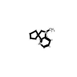 CN1CC2(CCCC2)c2ncccc21